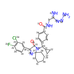 N=C(CNC(=O)c1ccc(C(C2CC2)N2C(=O)C(c3ccc(F)c(Cl)c3)=NC23CCCCC3)cc1)/N=N\N